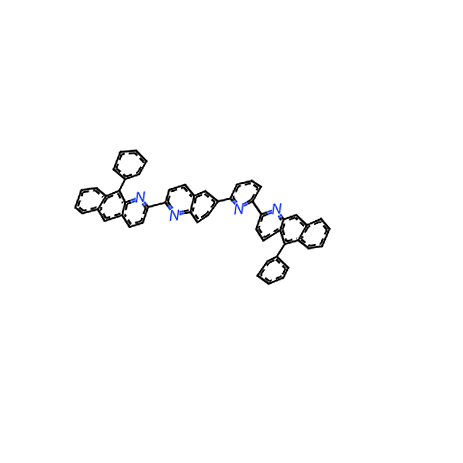 c1ccc(-c2c3ccccc3cc3nc(-c4cccc(-c5ccc6nc(-c7ccc8cc9ccccc9c(-c9ccccc9)c8n7)ccc6c5)n4)ccc23)cc1